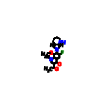 COc1c(N2C[C@@H]3CCCCN[C@@H]3C2)c(F)cc2c(=O)c(C(C)=O)cn(C3CC3)c12